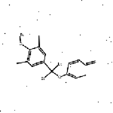 C=C/C=C\C(=C/C)OC(CC)(CC)c1cc(C)c(OC(C)CC)c(C)c1